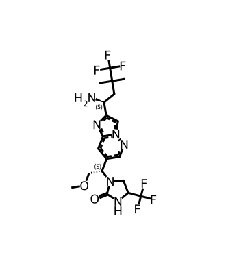 COC[C@H](c1cnn2cc([C@@H](N)CC(C)(C)C(F)(F)F)nc2c1)N1CC(C(F)(F)F)NC1=O